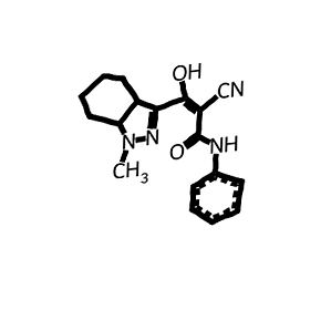 CN1N=C(C(O)=C(C#N)C(=O)Nc2ccccc2)C2CCCCC21